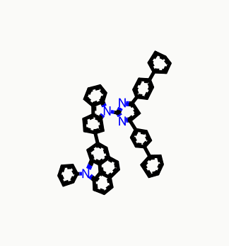 c1ccc(-c2ccc(-c3cc(-c4ccc(-c5ccccc5)cc4)nc(-n4c5ccccc5c5ccc(-c6cc7ccc8cccc9c8c7c(c6)n9-c6ccccc6)cc54)n3)cc2)cc1